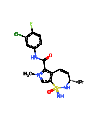 CC(C)[C@H]1C=Cc2c(cn(C)c2C(=O)Nc2ccc(F)c(Cl)c2)S(=N)(=O)N1